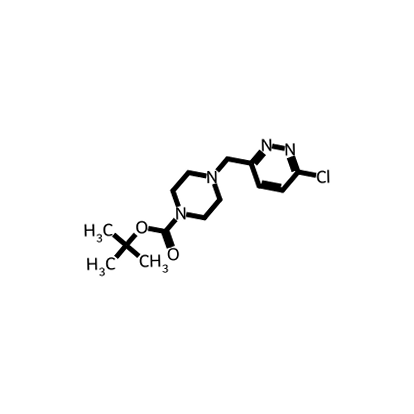 CC(C)(C)OC(=O)N1CCN(Cc2ccc(Cl)nn2)CC1